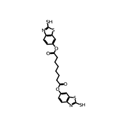 O=C(CCCCCCC(=O)Oc1ccc2nc(S)sc2c1)Oc1ccc2nc(S)sc2c1